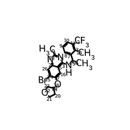 Cc1nc(N[C@H](C)c2cccc(C(F)(F)F)c2C)c2cc(O[C@H]3CCOC3)c(Br)cc2n1